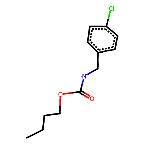 CCCCOC(=O)[N]Cc1ccc(Cl)cc1